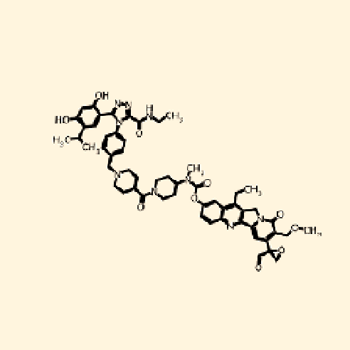 CCNC(=O)c1nnc(-c2cc(C(C)C)c(O)cc2O)n1-c1ccc(CN2CCC(C(=O)N3CCC(N(C)C(=O)Oc4ccc5nc6c(c(CC)c5c4)Cn4c-6cc(C5(C=O)CO5)c(COC)c4=O)CC3)CC2)cc1